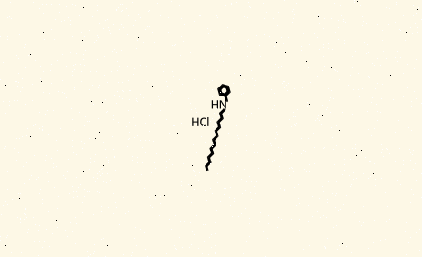 CCCCCCCCCCCCCCCNCc1ccccc1.Cl